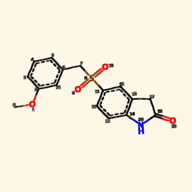 COc1cccc(CS(=O)(=O)c2ccc3c(c2)CC(=O)N3)c1